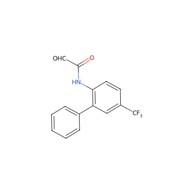 O=CC(=O)Nc1ccc(C(F)(F)F)cc1-c1ccccc1